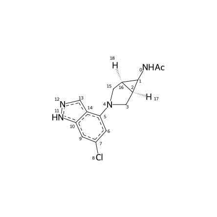 CC(=O)NC1[C@H]2CN(c3cc(Cl)cc4[nH]ncc34)C[C@@H]12